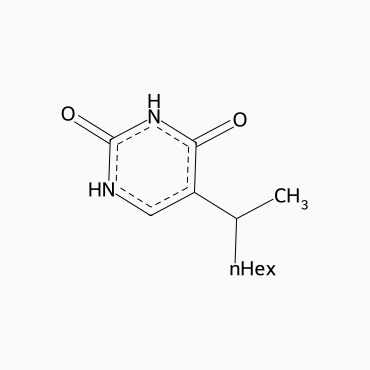 CCCCCCC(C)c1c[nH]c(=O)[nH]c1=O